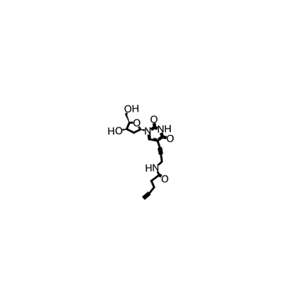 C#CCCC(=O)NCC#Cc1cn([C@H]2C[C@@H](O)[C@@H](CO)O2)c(=O)[nH]c1=O